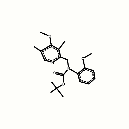 COc1ccccc1N(Cc1ncc(C)c(OC)c1C)C(=O)OC(C)(C)C